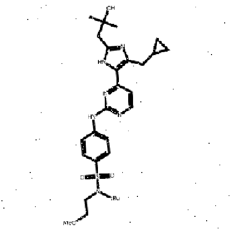 COCCN(C(C)(C)C)S(=O)(=O)c1ccc(Nc2nccc(-c3[nH]c(CC(C)(C)O)nc3CC3CC3)n2)cc1